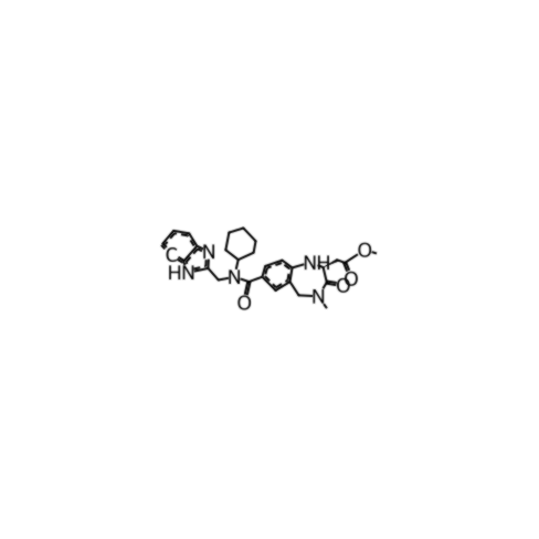 COC(=O)C[C@@H]1Nc2ccc(C(=O)N(Cc3nc4ccccc4[nH]3)C3CCCCC3)cc2CN(C)C1=O